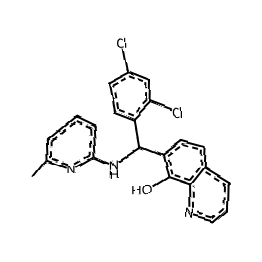 Cc1cccc(NC(c2ccc(Cl)cc2Cl)c2ccc3cccnc3c2O)n1